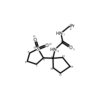 CC(C)NC(=O)NC1(C2CCCS2(=O)=O)CCCC1